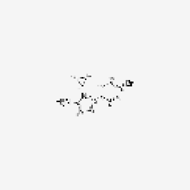 Nc1ncc(-c2ccc(Br)cc2)n1C1CC1